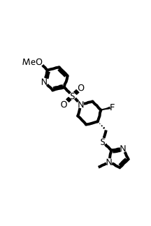 COc1ccc(S(=O)(=O)N2CC[C@@H](CSc3nccn3C)[C@H](F)C2)cn1